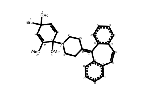 CCCCC1(OC(C)=O)C=CC(OC)(N2CCC(=C3c4ccccc4C=Cc4ccccc43)CC2)C(OC)=C1